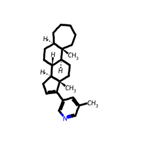 Cc1cncc(C2=CC[C@H]3[C@@H]4CC[C@H]5CCCCC[C@]5(C)[C@H]4CC[C@]23C)c1